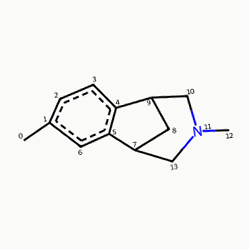 Cc1ccc2c(c1)C1CC2CN(C)C1